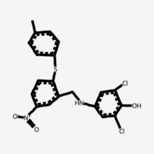 Cc1ccc(Sc2ccc([N+](=O)[O-])cc2CNc2cc(Cl)c(O)c(Cl)c2)cc1